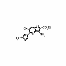 CCOC(=O)c1oc2cc(Cl)c(-c3cnn(C)c3)nc2c1N